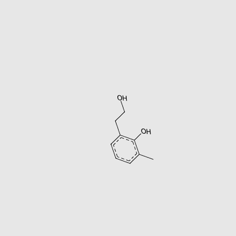 Cc1cccc(CCO)c1O